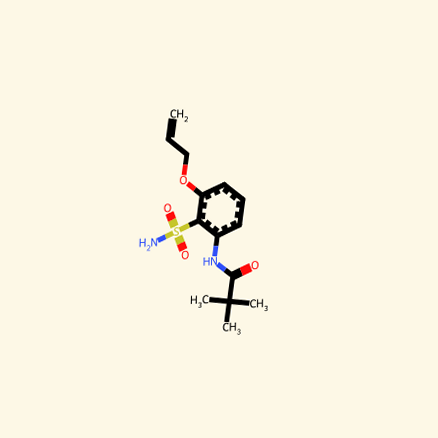 C=CCOc1cccc(NC(=O)C(C)(C)C)c1S(N)(=O)=O